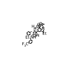 CCc1cn2c3c(cc(C(=O)N[C@@H](Cc4ccccc4)[C@H](O)CN[C@@H](CC)c4cccc(C(F)(F)F)c4)cc13)N(C)S(=O)(=O)C1(CC1)C2